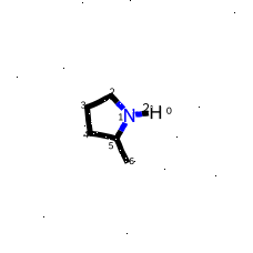 [2H]N1CCCC1C